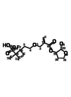 C=C(COCCC(F)(F)C(F)(F)S(=O)(=O)O)C(=O)OC1CCOC1=O